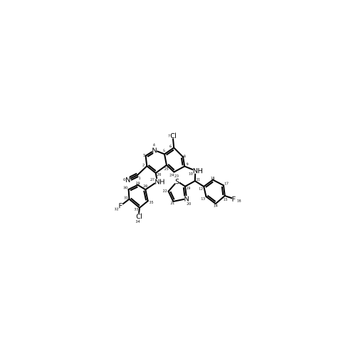 N#Cc1cnc2c(Cl)cc(NC(c3ccc(F)cc3)c3nccs3)cc2c1Nc1ccc(F)c(Cl)c1